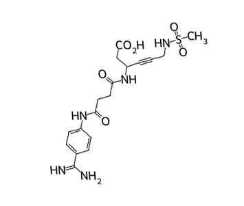 CS(=O)(=O)NCC#CC(CC(=O)O)NC(=O)CCC(=O)Nc1ccc(C(=N)N)cc1